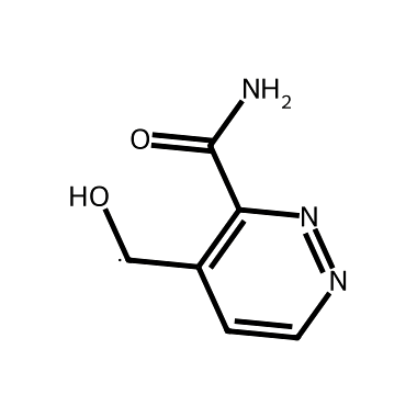 NC(=O)c1nnccc1[CH]O